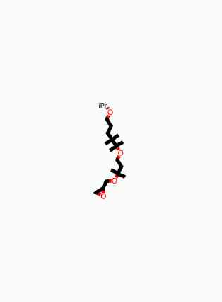 CC(C)OCCCC(C)(C)C(C)(C)OCCC(C)(C)OCC1CO1